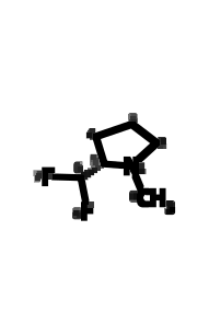 CN1CCC[C@H]1C(F)F